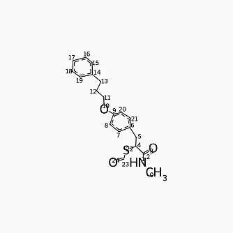 CNC(=O)C(Cc1ccc(OCCCc2ccccc2)cc1)SC=O